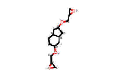 C1CC2CC(OCC3CO3)CC2CC1OCC1CO1